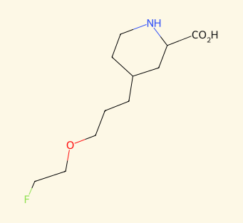 O=C(O)C1CC(CCCOCCF)CCN1